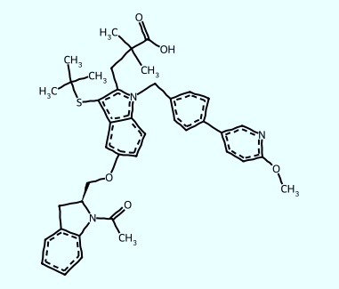 COc1ccc(-c2ccc(Cn3c(CC(C)(C)C(=O)O)c(SC(C)(C)C)c4cc(OC[C@@H]5Cc6ccccc6N5C(C)=O)ccc43)cc2)cn1